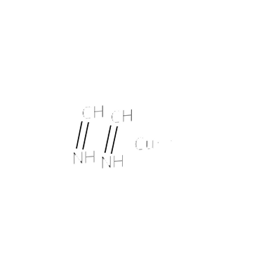 [CH-]=N.[CH-]=N.[Cu+2]